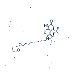 CCc1c(C)c2c3c(C(F)(F)F)cc(=O)[nH]c3ccc2n1CCCCCCCCCOC1CCCCO1